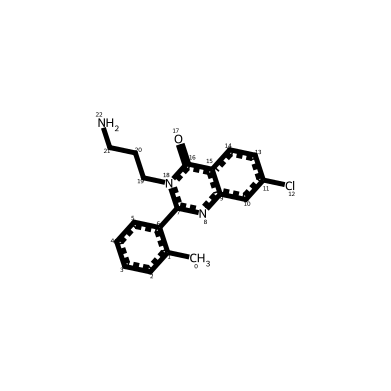 Cc1ccccc1-c1nc2cc(Cl)ccc2c(=O)n1CCCN